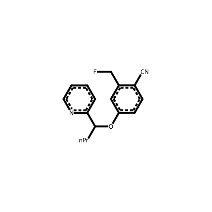 CCCC(Oc1ccc(C#N)c(CF)c1)c1ccccn1